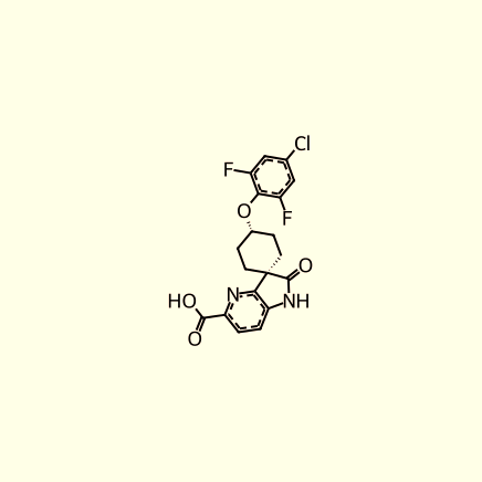 O=C(O)c1ccc2c(n1)[C@]1(CC[C@@H](Oc3c(F)cc(Cl)cc3F)CC1)C(=O)N2